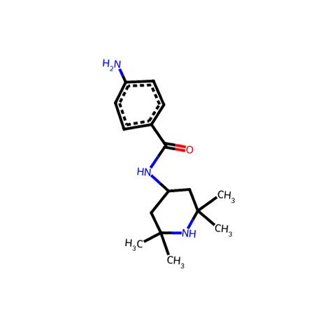 CC1(C)CC(NC(=O)c2ccc(N)cc2)CC(C)(C)N1